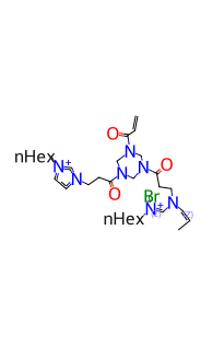 C=CC(=O)N1CN(C(=O)CCN(/C=C\C)/C=[N+](\Br)CCCCCC)CN(C(=O)CCn2cc[n+](CCCCCC)c2)C1